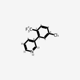 FC(F)(F)c1ccc(Cl)cc1-c1cccnc1